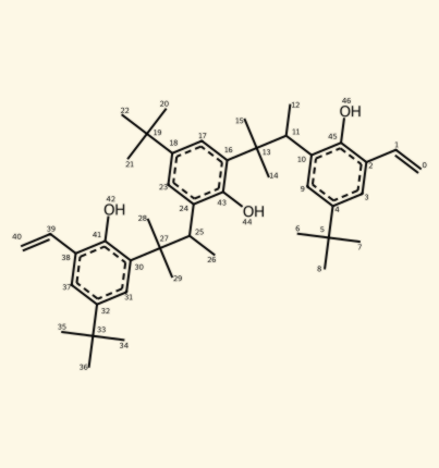 C=Cc1cc(C(C)(C)C)cc(C(C)C(C)(C)c2cc(C(C)(C)C)cc(C(C)C(C)(C)c3cc(C(C)(C)C)cc(C=C)c3O)c2O)c1O